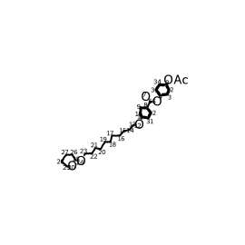 CC(=O)Oc1ccc(OC(=O)c2ccc(OCCCCCCCCCCCOC3CCCCO3)cc2)cc1